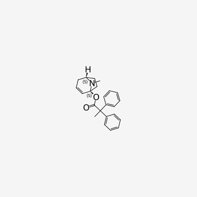 CN1[C@@H]2CC=C[C@@]1(OC(=O)C(C)(c1ccccc1)c1ccccc1)CC2